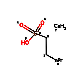 CCCCCS(=O)(=O)O.[CaH2]